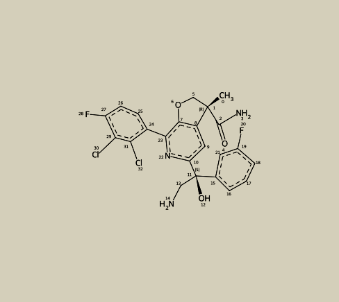 C[C@]1(C(N)=O)COc2c1cc([C@@](O)(CN)c1cccc(F)c1)nc2-c1ccc(F)c(Cl)c1Cl